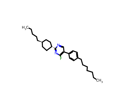 CCCCCCCc1ccc(-c2cnc([C@H]3CC[C@H](CCCCC)CC3)nc2F)cc1